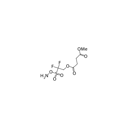 COC(=O)CCC(=O)OCC(F)(F)S(=O)(=O)ON